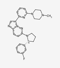 CN1CCN(c2cccc(-c3cnc4ccc(N5CCC[C@@H]5c5cccc(F)c5)nn34)n2)CC1